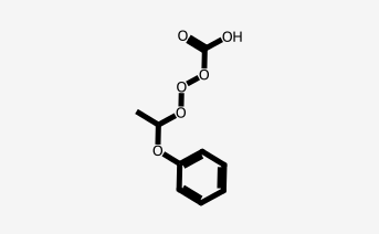 CC(OOOC(=O)O)Oc1ccccc1